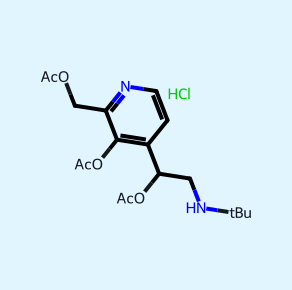 CC(=O)OCc1nccc(C(CNC(C)(C)C)OC(C)=O)c1OC(C)=O.Cl